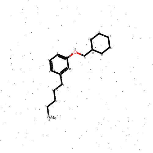 CNCCCCc1cccc(OCC2CCCCC2)c1